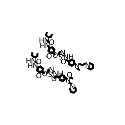 CCC(CC)NC(=O)Nc1ccc(Oc2cnc(NC(=O)c3ccc(N(CC)CCCN4CCCCC4)cc3)s2)c(OC)c1.CCC(CC)NC(=O)Nc1ccc(Oc2cnc(NC(=O)c3ccc(N(CCN4CCCCC4)C(C)=O)cc3)s2)c(OC)c1